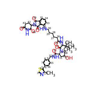 Cc1ncsc1-c1ccc(CNC(=O)[C@@H]2C[C@@H](O)CN2C(=O)[C@@H](NC(=O)CCCCCNc2cccc3c2C(=O)N(C2CCC(=O)NC2=O)C3=O)C(C)(C)C)cc1